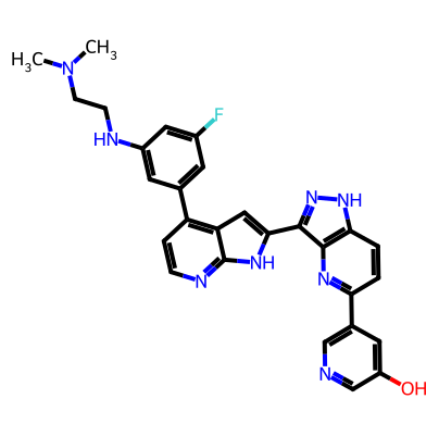 CN(C)CCNc1cc(F)cc(-c2ccnc3[nH]c(-c4n[nH]c5ccc(-c6cncc(O)c6)nc45)cc23)c1